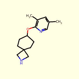 Cc1cnc(OC2CCC3(CC2)CNC3)c(C)c1